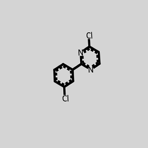 Clc1cccc(-c2nccc(Cl)n2)c1